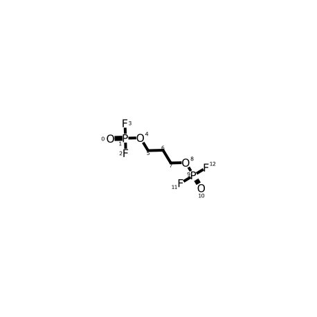 O=P(F)(F)OCCCOP(=O)(F)F